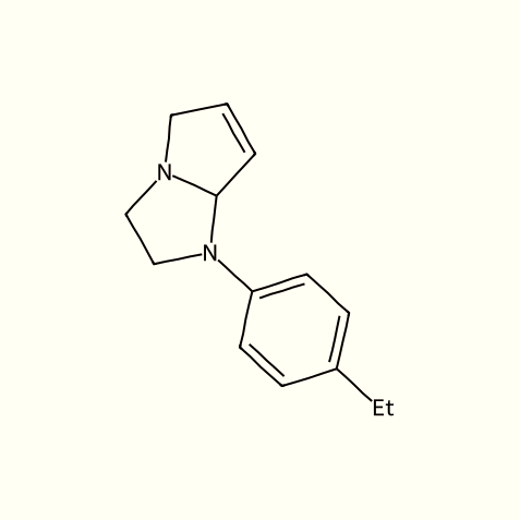 CCc1ccc(N2CCN3CC=CC32)cc1